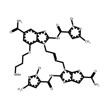 CCn1nc(C)cc1C(=O)Nc1nc2cc(C(N)=O)sc2n1C/C=C/Cn1c(NC(=O)c2cc(C)nn2CC)nc2cc(C(N)=O)cc(OCCCNC)c21